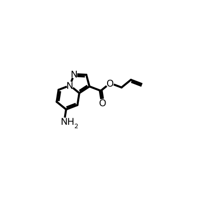 C=CCOC(=O)c1cnn2ccc(N)cc12